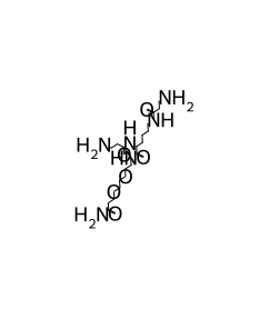 NCCC(=O)NCCCCC(NC(=O)CCN)C(=O)NCCOCCOCCC(N)=O